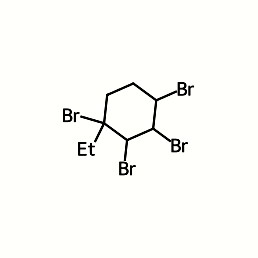 CCC1(Br)CCC(Br)C(Br)C1Br